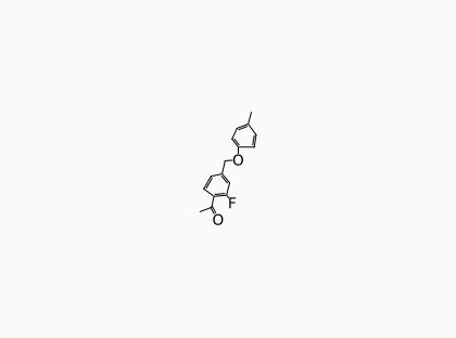 CC(=O)c1ccc(COc2ccc(C)cc2)cc1F